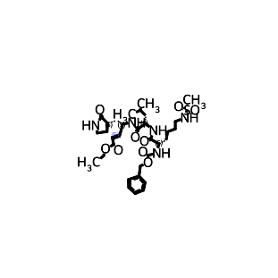 CCOC(=O)/C=C/[C@H](C[C@@H]1CCNC1=O)NC(=O)[C@H](CC(C)C)NC(=O)[C@H](CCCCNS(C)(=O)=O)NC(=O)OCc1ccccc1